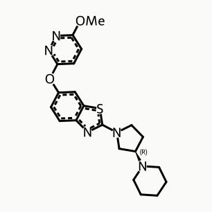 COc1ccc(Oc2ccc3nc(N4CC[C@@H](N5CCCCC5)C4)sc3c2)nn1